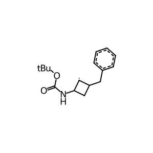 CC(C)(C)OC(=O)NC1[CH]C(Cc2ccccc2)C1